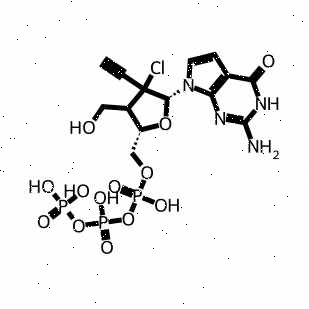 C#CC1(Cl)C(CO)[C@@H](COP(=O)(O)OP(=O)(O)OP(=O)(O)O)O[C@H]1n1ccc2c(=O)[nH]c(N)nc21